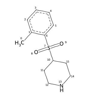 Cc1ccccc1S(=O)(=O)C1CCNCC1